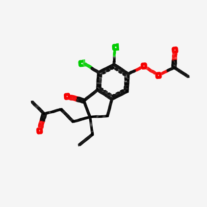 CCC1(CCC(C)=O)Cc2cc(OOC(C)=O)c(Cl)c(Cl)c2C1=O